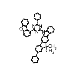 CC1(C)c2cc(-c3ccccc3)ccc2-c2cc3c(cc21)c1ccccc1n3-c1nc(-c2ccccc2)nc(-c2cccc3oc4ccccc4c23)n1